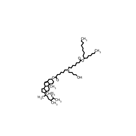 CCCCCCCCC(CCCCCC)OC(=O)CCCCCCN(CCCCO)CCCCCC(=O)OC1CCC2(C)C(=CCC3C2CCC2(C)C(C(C)CCC(C)C(C)C)CCC32)C1